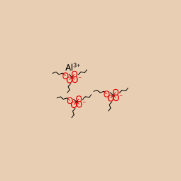 CCCCOCC([O-])(OCCCC)OCCCC.CCCCOCC([O-])(OCCCC)OCCCC.CCCCOCC([O-])(OCCCC)OCCCC.[Al+3]